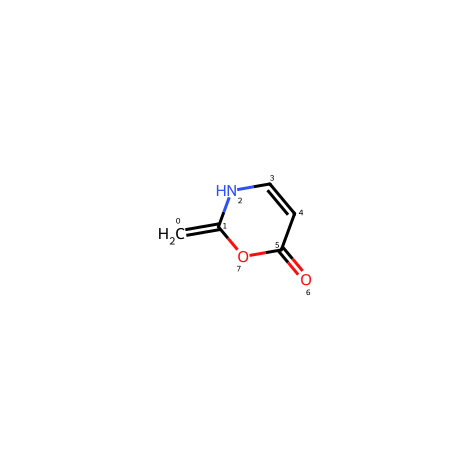 C=C1NC=CC(=O)O1